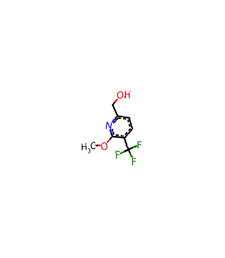 COc1nc(CO)ccc1C(F)(F)F